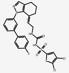 O=C(NC/C=C1\CCCc2cnn(-c3cccc(-c4ccc(F)cc4)c3)c21)NS(=O)(=O)c1cc(Cl)c(Cl)s1